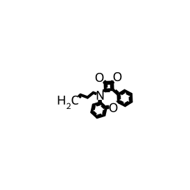 C=CCCn1c2ccccc2oc2ccccc2c2c(=O)c(=O)c21